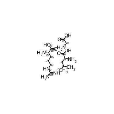 CC(C)C[C@H](N)C(=O)O.N=C(N)NCCC[C@H](N)C(=O)O.NCC(=O)O